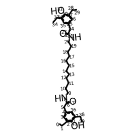 CCc1cc(CC(=O)NCCCCCCCCCCCCNC(=O)Cc2cc(CC)c(O)c(CC)c2)cc(CC)c1O